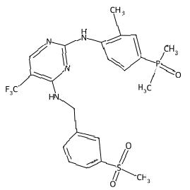 Cc1cc(P(C)(C)=O)ccc1Nc1ncc(C(F)(F)F)c(NCc2cccc(S(C)(=O)=O)c2)n1